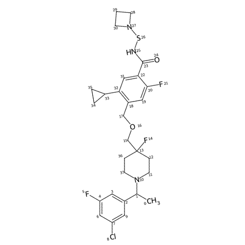 CC(c1cc(F)cc(Cl)c1)N1CCC(F)(COCc2cc(F)c(C(=O)NSN3CCC3)cc2C2CC2)CC1